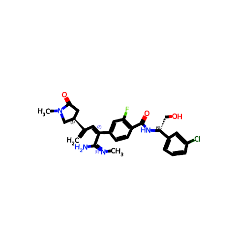 C=C(/C=C(\C(N)=N/C)c1ccc(C(=O)N[C@H](CO)c2cccc(Cl)c2)c(F)c1)[C@@H]1CC(=O)N(C)C1